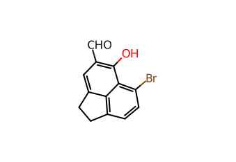 O=Cc1cc2c3c(ccc(Br)c3c1O)CC2